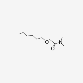 CCCCCCOCC(=O)N(C)C